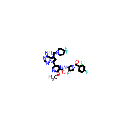 COc1ncc(-c2cc(CN3CCC(F)(F)CC3)c3c(N)ncnn23)cc1C(=O)N[C@@H]1CN(C(=O)c2ccc(F)cc2Cl)C[C@@H]1F